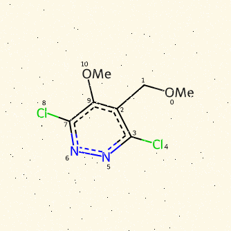 COCc1c(Cl)nnc(Cl)c1OC